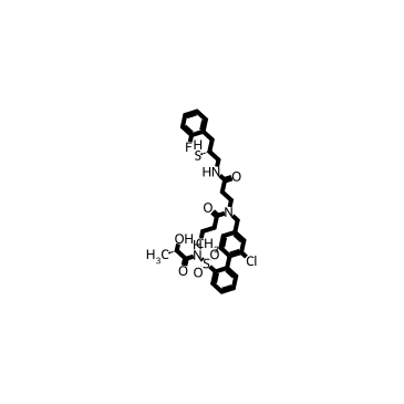 CCCC(=O)N(CCC(=O)NC[C@H](S)Cc1ccccc1F)Cc1ccc(-c2ccccc2S(=O)(=O)NC(=O)[C@H](C)O)c(Cl)c1